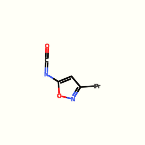 CC(C)c1cc(N=C=O)on1